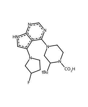 CC(C)(C)C1CN(c2ncnc3[nH]cc(N4CCC(F)C4)c23)CCN1C(=O)O